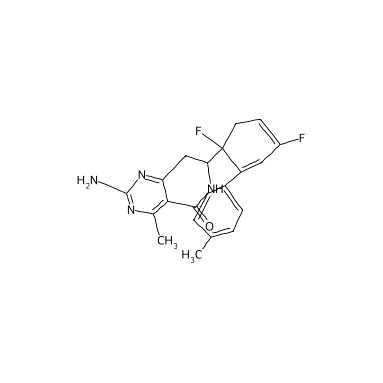 Cc1ccc(C2=CC(F)=CCC2(F)C2Cc3nc(N)nc(C)c3C(=O)N2)cc1